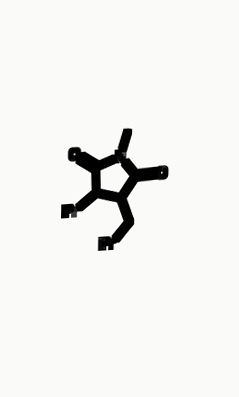 CC(C)CC1C(=O)N(C)C(=O)C1C(C)C